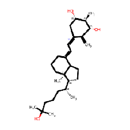 C=C1/C(=C\C=C2CCC[C@@]3(C)C2CC[C@@H]3[C@H](C)CCCC(C)(C)O)C[C@H](O)[C@@H](C)[C@@H]1O